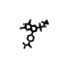 CN(C)C(=O)N1CCN(c2cc(S(=O)(=O)NC3(C)CC3)cc3c(=O)[nH]c(Cl)nc23)CC1